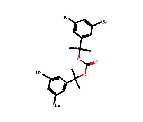 CC(C)(C)c1cc(C(C)(C)C)cc(C(C)(C)OC(=O)OC(C)(C)c2cc(C(C)(C)C)cc(C(C)(C)C)c2)c1